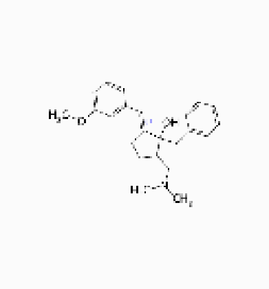 COc1cccc(/C=C2\CCC(CN(C)C)C2(O)Cc2ccccc2)c1